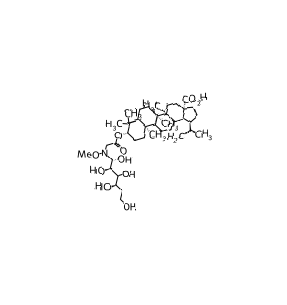 C=C(C)[C@@H]1CC[C@]2(C(=O)O)CC[C@]3(C)C(CCC4[C@@]5(C)CC[C@H](OC(=O)CN(OC)[C@H](O)[C@H](O)C(O)[C@H](O)CCO)C(C)(C)C5CC[C@]43C)C12